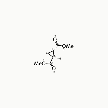 COC(=O)[C@H]1C[C@]1(C)C(=O)OC